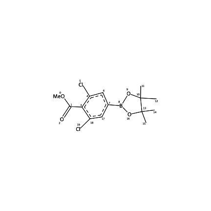 COC(=O)c1c(Cl)cc(B2OC(C)(C)C(C)(C)O2)cc1Cl